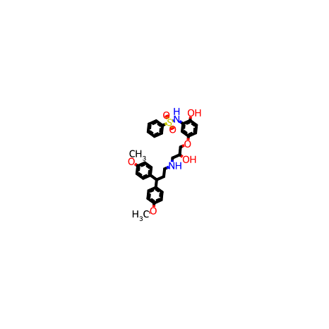 COc1ccc(C(CCNCC(O)COc2ccc(O)c(NS(=O)(=O)c3ccccc3)c2)c2ccc(OC)cc2)cc1